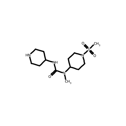 CN(C(=O)NC1CCNCC1)C1CCN(S(C)(=O)=O)CC1